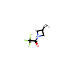 CC1CN(C(=O)C(F)(F)F)C1